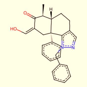 C[C@@H]1C(=O)C(=CO)C[C@]2(c3ccccc3)c3c(cnn3Cc3ccccc3)CC[C@@H]12